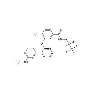 CNc1nccc(-c2cccnc2Oc2cc(C(=O)NCC(F)(F)C(F)(F)F)ccc2C)n1